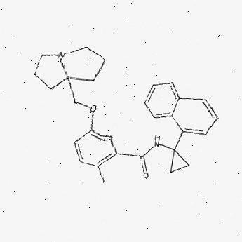 Cc1ccc(OCC23CCCN2CCC3)cc1C(=O)NC1(c2cccc3ccccc23)CC1